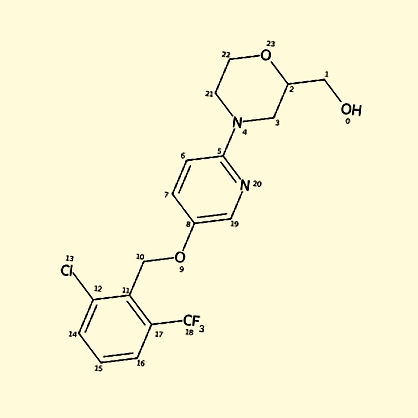 OCC1CN(c2ccc(OCc3c(Cl)cccc3C(F)(F)F)cn2)CCO1